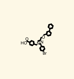 O=C(O)c1ccc(Cn2cc(COCc3cccc(-c4ccccc4)c3)nc2-c2ccc(Br)cc2)cc1